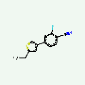 CCc1cc(-c2ccc(C#N)c(F)c2)cs1